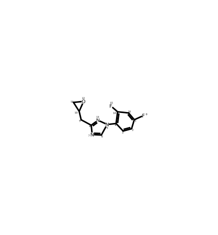 Fc1ccc(-n2cnc(CC3CO3)n2)c(F)c1